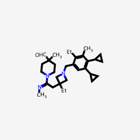 CCc1c(CN2CC(CC)(C/C(=N\C)N3CCC(C)(C=O)CC3)C2)cc(C2CC2)c(C2CC2)c1C